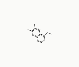 CCc1cccc2cc(C)c(C)nc12